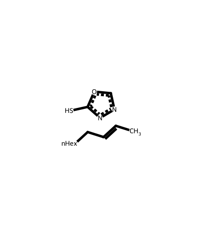 CC=CCCCCCCC.Sc1nnco1